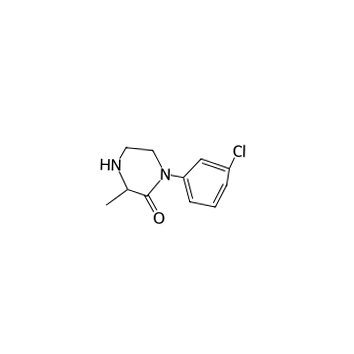 CC1NCCN(c2cccc(Cl)c2)C1=O